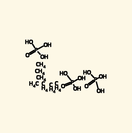 C.C.C.C.C.C.C.O=P(O)(O)O.O=P(O)(O)O.O=P(O)(O)O